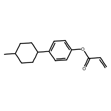 C=CC(=O)Oc1ccc(C2CCC(C)CC2)cc1